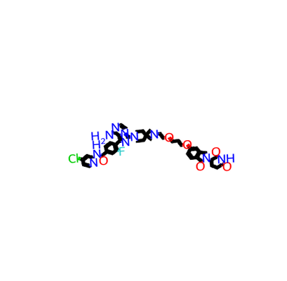 Nc1nccn2c(N3CCC4(CC3)CN(CCOCCCOc3ccc5c(c3)CN(C3CCC(=O)NC3=O)C5=O)C4)nc(-c3ccc(C(=O)Nc4cc(Cl)ccn4)cc3F)c12